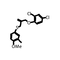 C=C(COc1ccc(Cl)cc1Cl)CSc1ccc(OC)c(C)c1